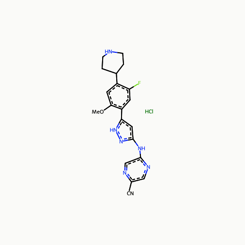 COc1cc(C2CCNCC2)c(F)cc1-c1cc(Nc2cnc(C#N)cn2)n[nH]1.Cl